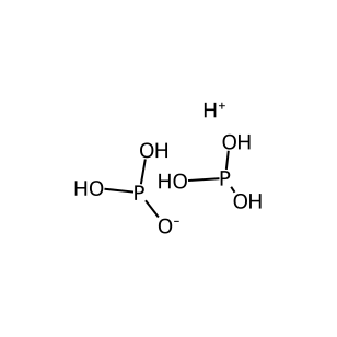 OP(O)O.[H+].[O-]P(O)O